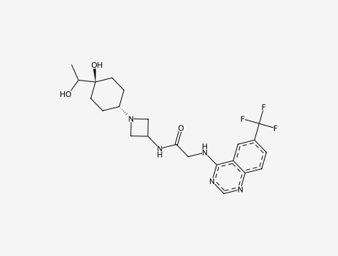 CC(O)[C@]1(O)CC[C@H](N2CC(NC(=O)CNc3ncnc4ccc(C(F)(F)F)cc34)C2)CC1